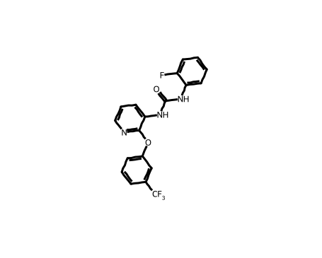 O=C(Nc1ccccc1F)Nc1cccnc1Oc1cccc(C(F)(F)F)c1